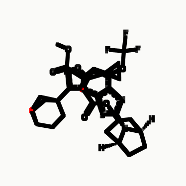 COC(=O)c1cc(OC(F)(F)F)c2nc(N3[C@@H]4CC[C@H]3CC(OC(=O)c3c(C56CCC(CC5)CC6)noc3C3CC3)C4)sc2c1